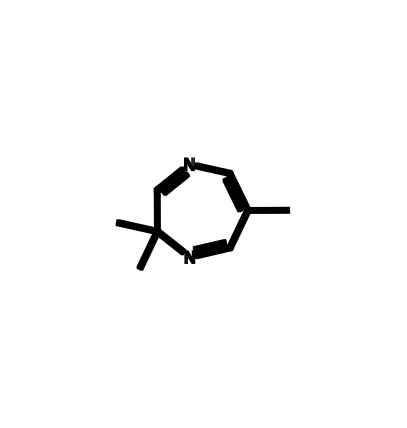 CC1=CN=CC(C)(C)N=C1